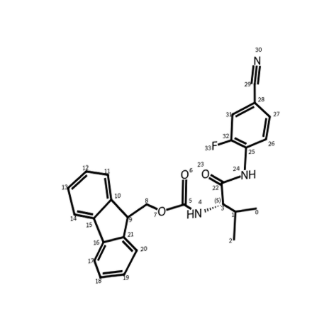 CC(C)[C@H](NC(=O)OCC1c2ccccc2-c2ccccc21)C(=O)Nc1ccc(C#N)cc1F